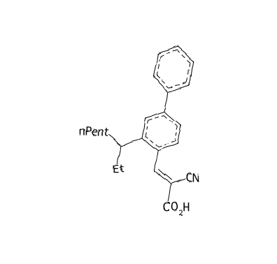 CCCCCC(CC)c1cc(-c2ccccc2)ccc1/C=C(\C#N)C(=O)O